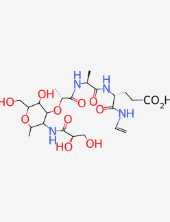 C=CNC(=O)[C@@H](CCC(=O)O)NC(=O)[C@H](C)NC(=O)[C@@H](C)OC1C(O)C(CO)OC(C)C1NC(=O)[C@H](O)CO